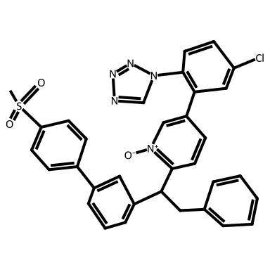 CS(=O)(=O)c1ccc(-c2cccc(C(Cc3ccccc3)c3ccc(-c4cc(Cl)ccc4-n4cnnn4)c[n+]3[O-])c2)cc1